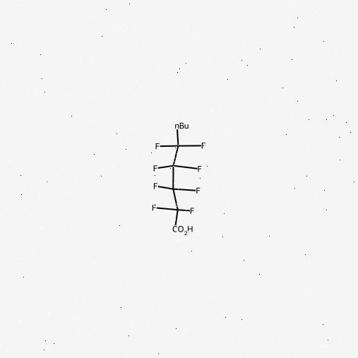 CCCCC(F)(F)C(F)(F)C(F)(F)C(F)(F)C(=O)O